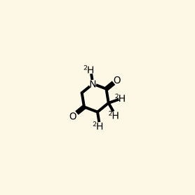 [2H]C1C(=O)CN([2H])C(=O)C1([2H])[2H]